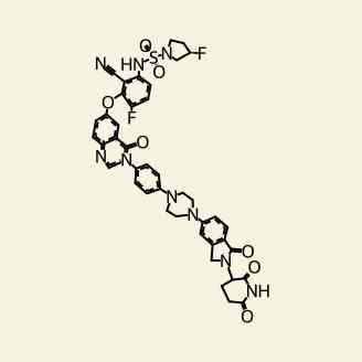 N#Cc1c(NS(=O)(=O)N2CC[C@@H](F)C2)ccc(F)c1Oc1ccc2ncn(-c3ccc(N4CCN(c5ccc6c(c5)CN(C5CCC(=O)NC5=O)C6=O)CC4)cc3)c(=O)c2c1